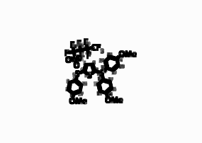 COc1ccc(Sc2ccc([S+](c3ccc(OC)cc3)c3ccc(OC)cc3)s2)cc1.O=S(=O)([O-])C(F)(F)C(F)(F)C(F)(F)C(F)(F)F